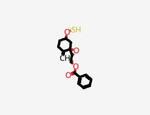 C=C1CCC(OS)CC12OC2COC(=O)c1ccccc1